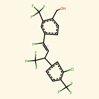 OCc1ccc(/C(F)=C/C(c2ccc(C(F)(F)F)c(Cl)c2)C(F)(F)F)cc1C(F)(F)F